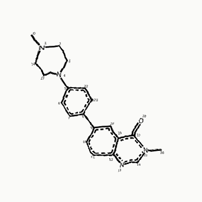 CN1CCN(c2ccc(-c3ccc4ncn(C)c(=O)c4c3)cc2)CC1